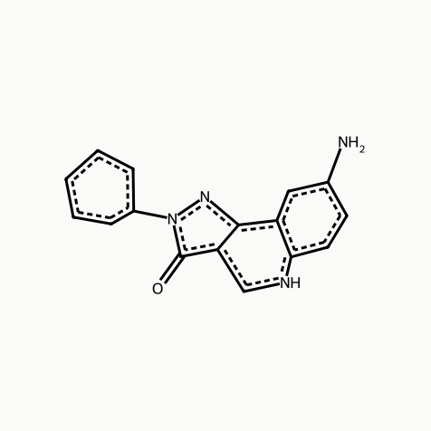 Nc1ccc2[nH]cc3c(=O)n(-c4ccccc4)nc-3c2c1